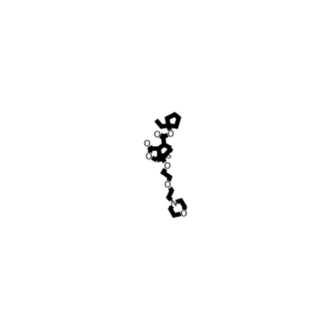 CCC1(OC(=O)C2C3SC4C(OC(=O)C42)C3OCCOCCN2CCOCC2)CCCC1